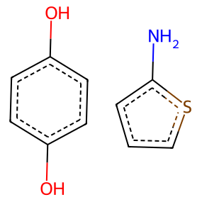 Nc1cccs1.Oc1ccc(O)cc1